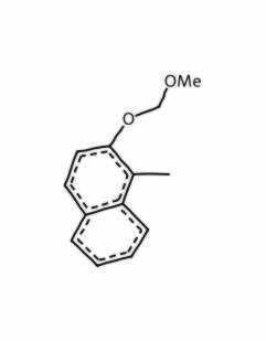 COCOc1ccc2ccccc2c1C